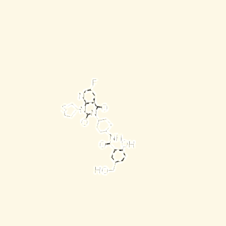 O=C(NC1CCC(n2c(=O)c3cc(F)cnc3n(C3CCSC3)c2=O)CC1)c1cc(CO)ccc1O